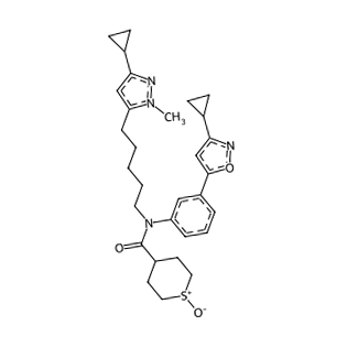 Cn1nc(C2CC2)cc1CCCCCN(C(=O)C1CC[S+]([O-])CC1)c1cccc(-c2cc(C3CC3)no2)c1